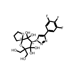 OCC1(CO)O[C@@]2(CCCO2)C(O)(O)[C@@H](n2cc(-c3cc(F)c(F)c(F)c3)nn2)C1(O)O